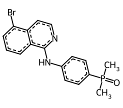 CP(C)(=O)c1ccc(Nc2nccc3c(Br)cccc23)cc1